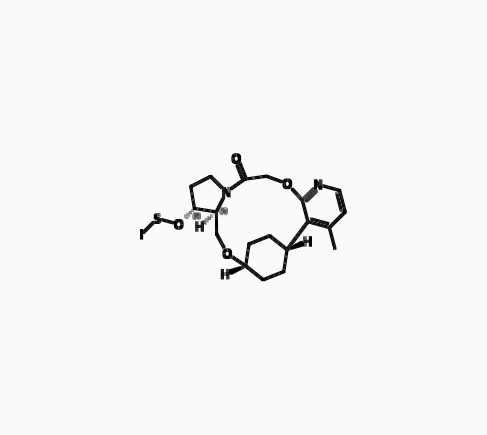 Cc1ccnc2c1[C@H]1CC[C@H](CC1)OC[C@H]1[C@H](OSI)CCN1C(=O)CO2